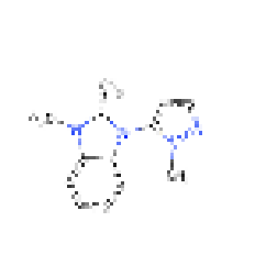 C[C@@H]1N(C)c2ccccc2N1c1ccnn1C